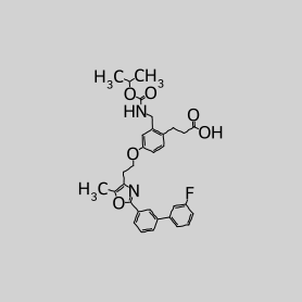 Cc1oc(-c2cccc(-c3cccc(F)c3)c2)nc1CCOc1ccc(CCC(=O)O)c(CNC(=O)OC(C)C)c1